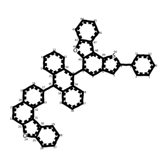 c1ccc(-c2cc3cc(-c4c5ccccc5c(-c5ccc6ccc7oc8ccccc8c7c6c5)c5ccccc45)c4oc5ccccc5c4c3s2)cc1